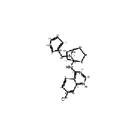 Clc1ccc2c(NC34CCCC(CC3)N4Cc3ccccc3)ncnc2c1